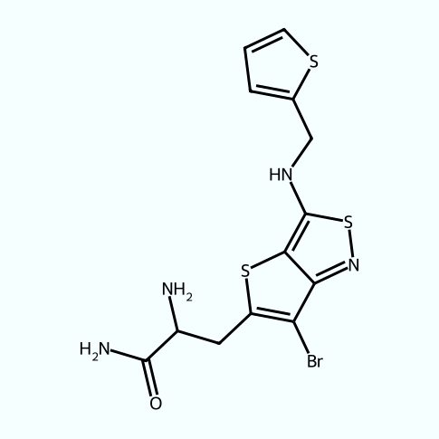 NC(=O)C(N)Cc1sc2c(NCc3cccs3)snc2c1Br